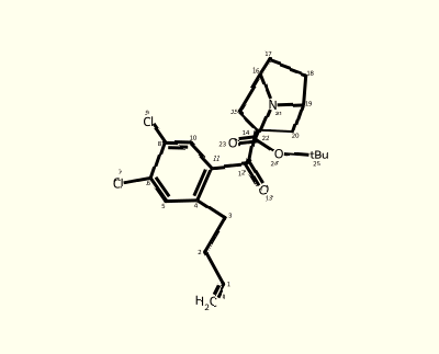 C=CCCc1cc(Cl)c(Cl)cc1C(=O)C1CC2CCC(C1)N2C(=O)OC(C)(C)C